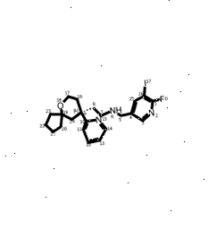 Fc1ncc(CNCC[C@@]2(c3ccccn3)CCOC3(CCCC3)C2)cc1I